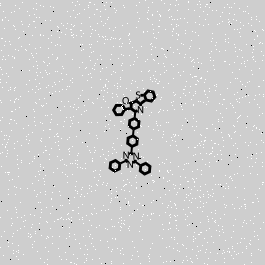 c1ccc(-c2nc(-c3ccccc3)nc(-c3ccc(-c4ccc(-c5nc6c7ccccc7sc6c6oc7ccccc7c56)cc4)cc3)n2)cc1